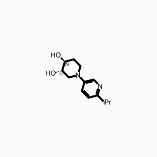 CC(C)c1ccc(N2CC[C@H](O)[C@@H](O)C2)cn1